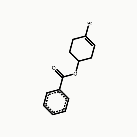 O=C(OC1CC=C(Br)CC1)c1ccccc1